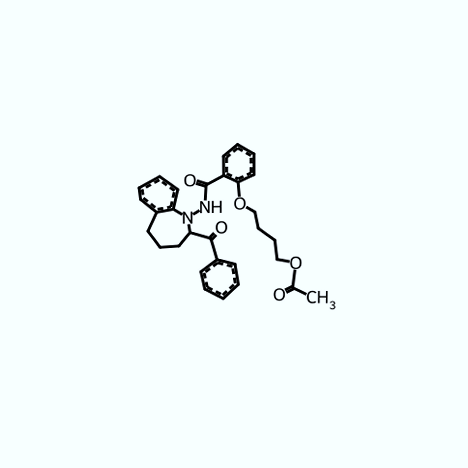 CC(=O)OCCCCOc1ccccc1C(=O)NN1c2ccccc2CCCC1C(=O)c1ccccc1